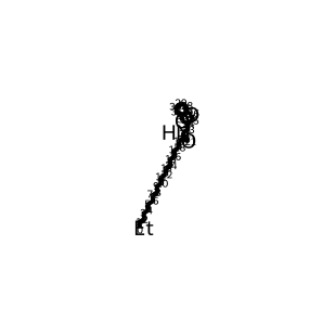 CCC=CCC=CCC=CCC=CCC=CCC=CCCC(=O)NCC1COc2ccccc2O1